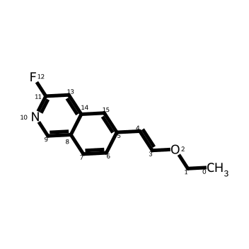 CCO/C=C/c1ccc2cnc(F)cc2c1